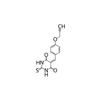 C#CCOc1ccc(C=C2C(=O)NC(=S)NC2=O)cc1